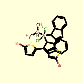 C[SiH](C)[Zr]([Cl])([Cl])([CH]1C(c2ccc(Br)s2)=Cc2ccccc21)[CH]1C(c2ccc(Br)s2)=Cc2ccccc21